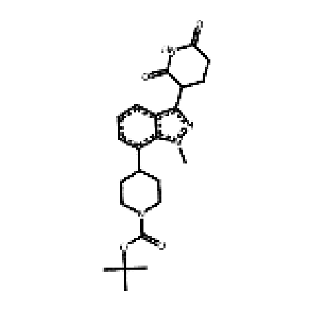 Cn1nc(C2CCC(=O)NC2=O)c2cccc(C3CCN(C(=O)OC(C)(C)C)CC3)c21